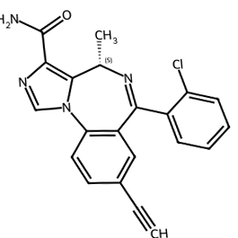 C#Cc1ccc2c(c1)C(c1ccccc1Cl)=N[C@@H](C)c1c(C(N)=O)ncn1-2